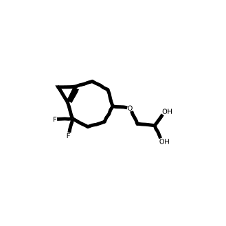 OC(O)COC1CCC2=C(C2)C(F)(F)CC1